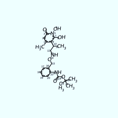 Cc1cc(=O)n(O)c(O)c1C(C)CNOCc1ccccc1NC(=O)OC(C)(C)C